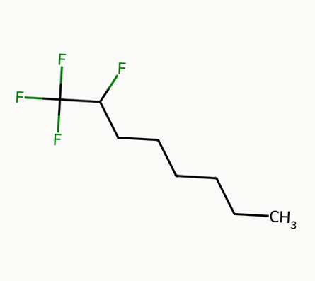 CCCCCCC(F)C(F)(F)F